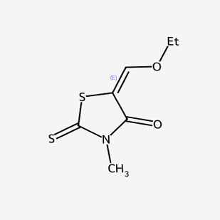 CCO/C=C1/SC(=S)N(C)C1=O